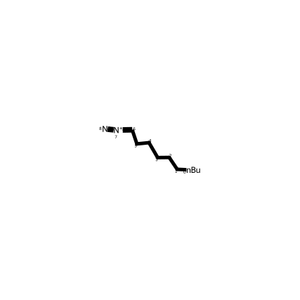 CCCCCCCCCC=[N+]=[N-]